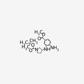 COC(=O)c1ccc(N)c(N[C@H]2CCN(C(=O)OC(C)(C)C)C2)c1